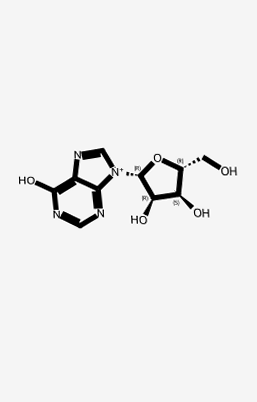 OC[C@H]1O[C@@H]([N+]2C=Nc3c(O)ncnc32)[C@H](O)[C@@H]1O